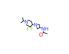 CC(=O)NC1CN(C2CCN(C(C)C)CC2(F)F)C1